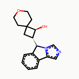 O[C@H]1[C@H](C2c3ccccc3-c3cncn32)CC12CCOCC2